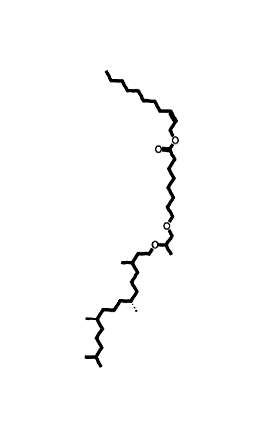 CCCCCCCC/C=C\COC(=O)CCCCCCCOCC(C)OCCC(C)CCC[C@H](C)CCC[C@H](C)CCCC(C)C